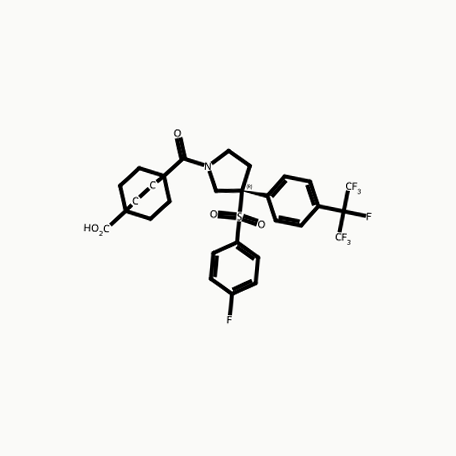 O=C(O)C12CCC(C(=O)N3CC[C@](c4ccc(C(F)(C(F)(F)F)C(F)(F)F)cc4)(S(=O)(=O)c4ccc(F)cc4)C3)(CC1)CC2